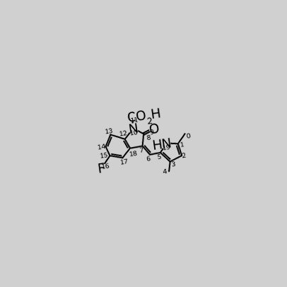 Cc1cc(C)c(/C=C2\C(=O)N(C(=O)O)c3ccc(F)cc32)[nH]1